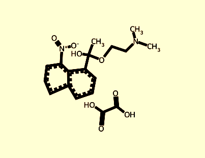 CN(C)CCOC(C)(O)c1cccc2cccc([N+](=O)[O-])c12.O=C(O)C(=O)O